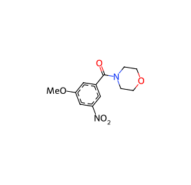 COc1cc(C(=O)N2CCOCC2)cc([N+](=O)[O-])c1